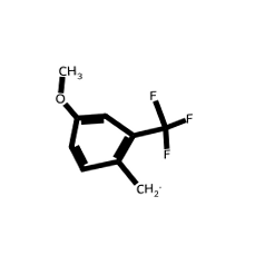 [CH2]c1ccc(OC)cc1C(F)(F)F